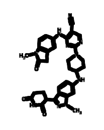 CN1C(=O)Cc2cc(Nc3nc(N4CCC(Nc5ccc6c(C7CCC(=O)NC7=O)nn(C)c6c5)CC4)ncc3C#N)ccc21